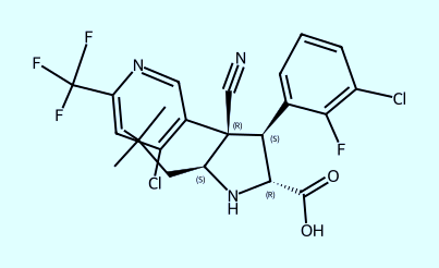 CC(C)(C)C[C@@H]1N[C@@H](C(=O)O)[C@H](c2cccc(Cl)c2F)[C@@]1(C#N)c1cnc(C(F)(F)F)cc1Cl